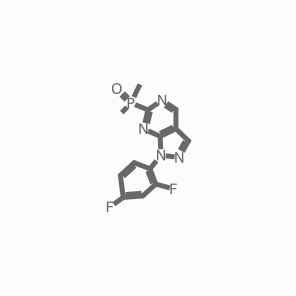 CP(C)(=O)c1ncc2cnn(-c3ccc(F)cc3F)c2n1